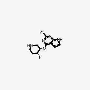 F[C@@H]1CCNC[C@@H]1Oc1nc(Cl)nc2[nH]ccc12